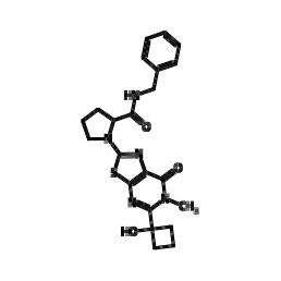 Cn1c(C2(O)CCC2)nc2sc(N3CCCC3C(=O)NCc3ccccc3)nc2c1=O